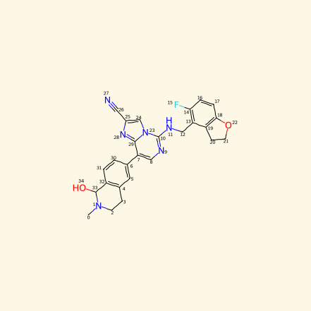 CN1CCc2cc(-c3cnc(NCc4c(F)ccc5c4CCO5)n4cc(C#N)nc34)ccc2C1O